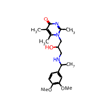 COc1ccc(C(C)NCC(O)Cn2c(C)nc(=O)c(C)c2C)cc1OC